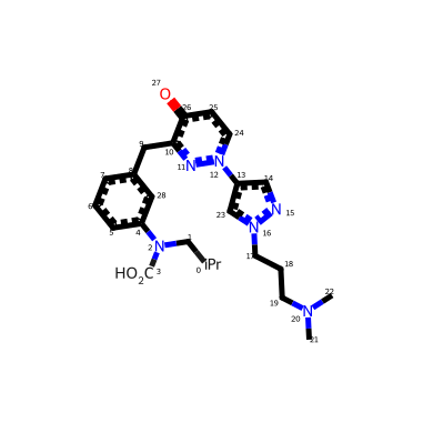 CC(C)CN(C(=O)O)c1cccc(Cc2nn(-c3cnn(CCCN(C)C)c3)ccc2=O)c1